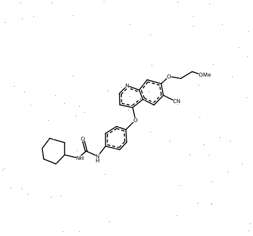 COCCOc1cc2nccc(Oc3ccc(NC(=O)NC4CCCCC4)cc3)c2cc1C#N